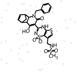 CS(=O)(=O)NCc1csc2c1S(=O)(=O)N=C(C1=C(O)C3C4C=CC(C4)C3N(Cc3ccccc3)C1=O)N2